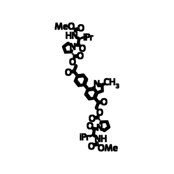 COC(=O)N[C@H](C(=O)N1CCC[C@H]1C(=O)OCC(=O)c1ccc(-c2ccc(C(=O)COC(=O)[C@@H]3CCCN3C(=O)[C@@H](NC(=O)OC)C(C)C)c3c2N=C(C)C3)cc1)C(C)C